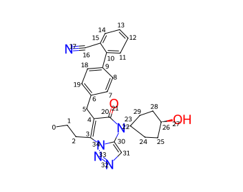 CCCc1c(Cc2ccc(-c3ccccc3C#N)cc2)c(=O)n([C@H]2CC[C@H](O)CC2)c2cnnn12